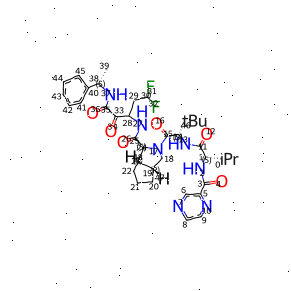 CC(C)[C@H](NC(=O)c1cnccn1)C(=O)N[C@H](C(=O)N1C[C@@H]2CCC[C@@H]2[C@H]1C(=O)NC(CC(F)F)C(=O)C(=O)N[C@@H](C)c1ccccc1)C(C)(C)C